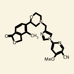 COc1cc(-n2cnc(CN3CCOC(c4ccc5c(c4C)COC5=O)C3)c2)ncc1C#N